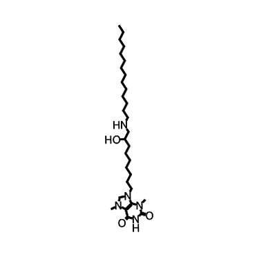 CCCCCCCCCCCCCCNCC(O)CCCCCCCN1CN(C)c2c1n(C)c(=O)[nH]c2=O